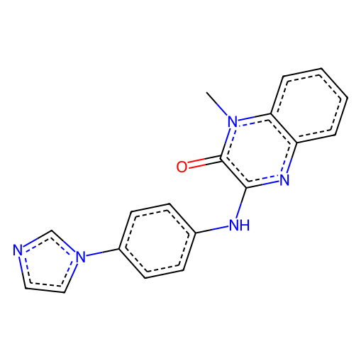 Cn1c(=O)c(Nc2ccc(-n3ccnc3)cc2)nc2ccccc21